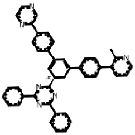 Cc1ncccc1-c1ccc(C2=CC(c3ccc(-c4cnccn4)cc3)=C[C@H](c3nc(-c4ccccc4)nc(-c4ccccc4)n3)C2)cc1